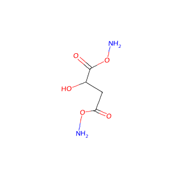 NOC(=O)CC(O)C(=O)ON